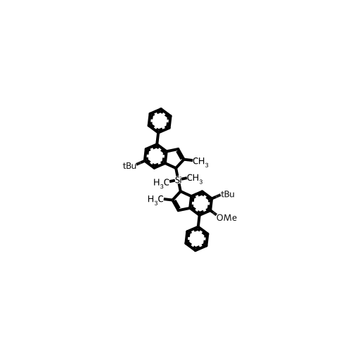 COc1c(C(C)(C)C)cc2c(c1-c1ccccc1)C=C(C)C2[Si](C)(C)C1C(C)=Cc2c(-c3ccccc3)cc(C(C)(C)C)cc21